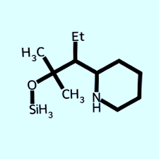 CCC(C1CCCCN1)C(C)(C)O[SiH3]